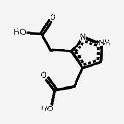 O=C(O)Cc1c[nH]nc1CC(=O)O